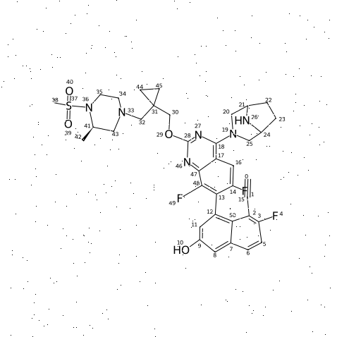 C#Cc1c(F)ccc2cc(O)cc(-c3c(F)cc4c(N5CC6CCC(C5)N6)nc(OCC5(CN6CCN(S(C)(=O)=O)[C@H](C)C6)CC5)nc4c3F)c12